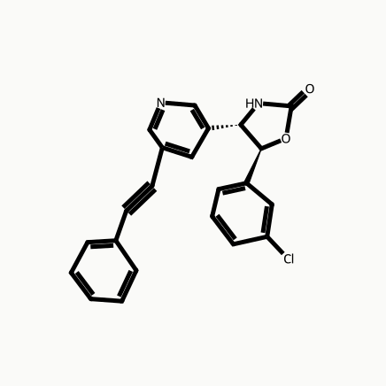 O=C1N[C@@H](c2cncc(C#Cc3ccccc3)c2)[C@H](c2cccc(Cl)c2)O1